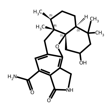 C[C@H]1CC[C@H]2C(C)(C)CC(O)C[C@]23Oc2c(cc(C(N)=O)c4c2CNC4=O)C[C@]13C